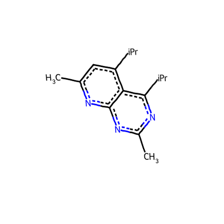 Cc1cc(C(C)C)c2c(C(C)C)nc(C)nc2n1